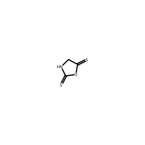 S=C1CNC(=S)O1